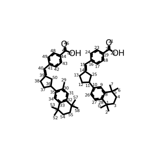 CC1(C)CCC(C)(C)c2cc(C3CCC(=Cc4ccc(C(=O)O)cc4)C3)ccc21.Cc1cc2c(cc1C1CCC(=Cc3ccc(C(=O)O)cc3)C1)C(C)(C)CCC2(C)C